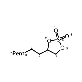 CCCCCCCC1COS(=O)(=O)O1